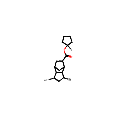 CCCC1CC(CC)C2C3CC(CC3C(=O)OC3(CC)CCCC3)C12